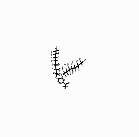 CC(C)(C)C(=O)c1ccc(OC(F)(F)C(F)(F)C(F)(F)C(F)(F)C(F)(F)C(F)(F)C(F)(F)F)c(OC(F)(F)C(F)(F)C(F)(F)C(F)(F)C(F)(F)C(F)(F)C(F)(F)F)c1